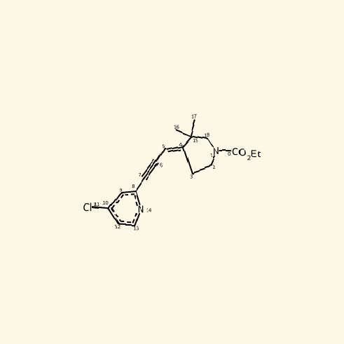 CCOC(=O)N1CC/C(=C\C#Cc2cc(Cl)ccn2)C(C)(C)C1